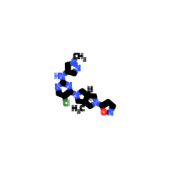 Cn1cc(Nc2ncc(Cl)c(N3C[C@@H]4CN(c5ccno5)C[C@]4(C)C3)n2)cn1